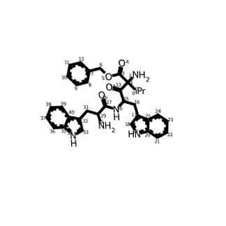 CC(C)C(N)(C(=O)OCc1ccccc1)C(=O)C(Cc1c[nH]c2ccccc12)NC(=O)C(N)Cc1c[nH]c2ccccc12